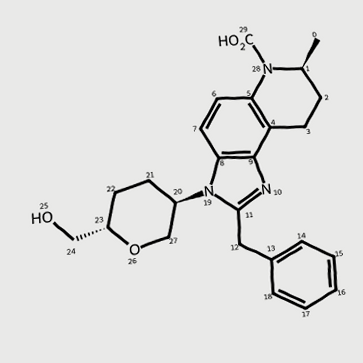 C[C@H]1CCc2c(ccc3c2nc(Cc2ccccc2)n3[C@@H]2CC[C@@H](CO)OC2)N1C(=O)O